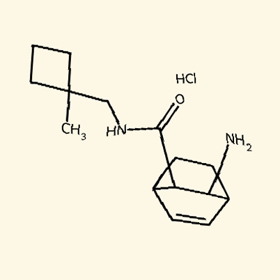 CC1(CNC(=O)C2C3C=CC(CC3)C2N)CCC1.Cl